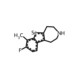 Cc1c(F)ccc2c3c([se]c12)CCNCC3